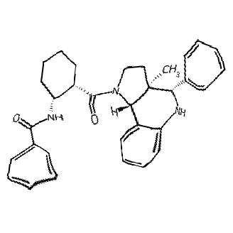 C[C@@]12CCN(C(=O)[C@H]3CCCC[C@H]3NC(=O)c3ccccc3)[C@H]1c1ccccc1N[C@H]2c1ccccc1